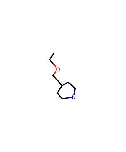 CCOCC1CC[N]CC1